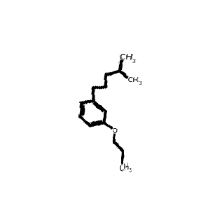 CCCOc1cccc(CCCC(C)C)c1